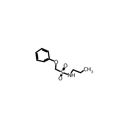 CCCNS(=O)(=O)COc1ccccc1